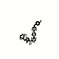 Cc1c(Nc2ncnc(N3CCN(c4ncc(Cc5ccc(F)cc5)cn4)CC3)n2)cnn1C[C@@H]1CNCCO1